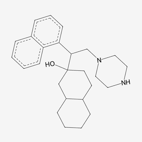 OC1(C(CN2CCNCC2)c2cccc3ccccc23)CCC2CCCCC2C1